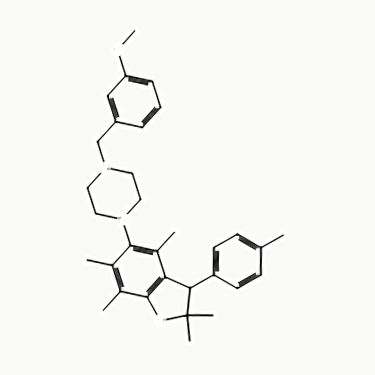 COc1cccc(CN2CCN(c3c(C)c(C)c4c(c3C)C(c3ccc(C)cc3)C(C)(C)O4)CC2)c1